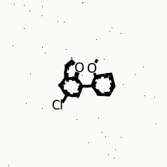 COc1ccccc1-c1cc(Cl)cc2c[c]oc12